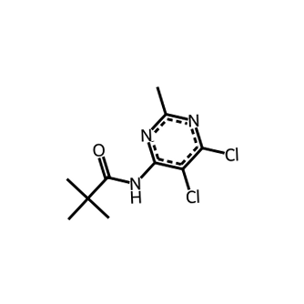 Cc1nc(Cl)c(Cl)c(NC(=O)C(C)(C)C)n1